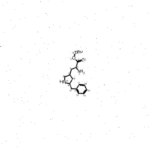 CC(C)(C)OC(=O)C(N)CC1CNC(Cc2ccccc2)C1